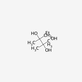 CC(C)(O)C(C)(C)O.CCO